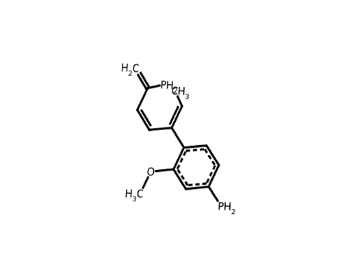 C=C(P)/C=C\C(=C/C)c1ccc(P)cc1OC